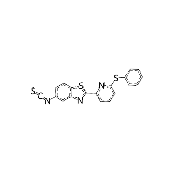 S=C=Nc1ccc2sc(-c3cccc(Sc4ccccc4)n3)nc2c1